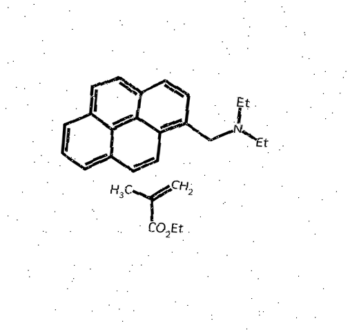 C=C(C)C(=O)OCC.CCN(CC)Cc1ccc2ccc3cccc4ccc1c2c34